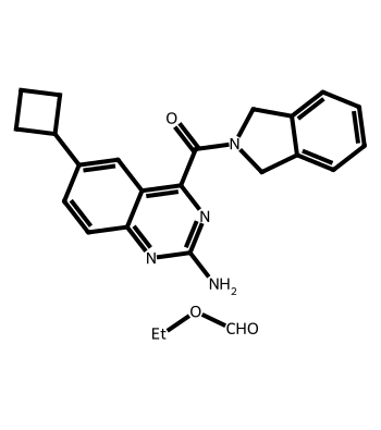 CCOC=O.Nc1nc(C(=O)N2Cc3ccccc3C2)c2cc(C3CCC3)ccc2n1